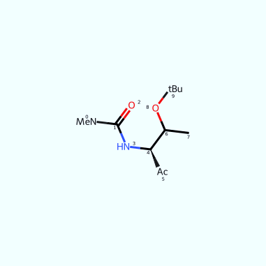 CNC(=O)N[C@H](C(C)=O)C(C)OC(C)(C)C